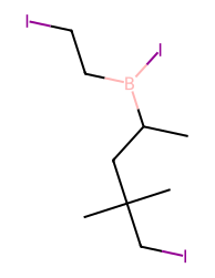 CC(CC(C)(C)CI)B(I)CCI